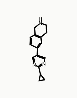 c1cc2c(cc1-c1cnc(C3CC3)nc1)CCNC2